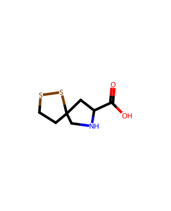 O=C(O)C1CC2(CCSS2)CN1